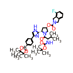 CC(C)[C@H](NC(=O)OC(C)(C)C)C(=O)N1C[C@H](OC(=O)N2Cc3cccc(F)c3C2)C[C@H]1c1nc(-c2ccc(B3OC(C)(C)C(C)(C)O3)cc2)c[nH]1